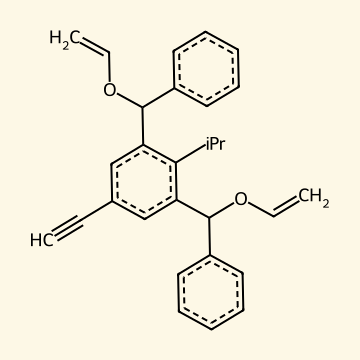 C#Cc1cc(C(OC=C)c2ccccc2)c(C(C)C)c(C(OC=C)c2ccccc2)c1